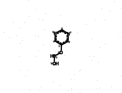 OBOc1cncnc1